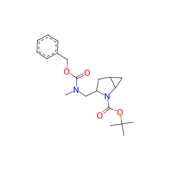 CN(CC1CC2CC2N1C(=O)OC(C)(C)C)C(=O)OCc1ccccc1